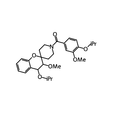 COc1cc(C(=O)N2CCC3(CC2)Oc2ccccc2C(OC(C)C)C3OC)ccc1OC(C)C